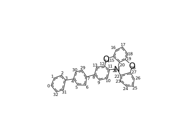 c1ccc(-c2ccc(-c3ccc4c(c3)Oc3cccc5c3N4c3ccccc3O5)cc2)cc1